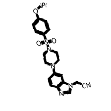 CC(C)Oc1ccc(S(=O)(=O)N2CCN(c3ccc4ncn(CC#N)c4c3)CC2)cc1